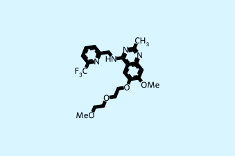 COCCOCCOc1cc2c(NCc3cccc(C(F)(F)F)n3)nc(C)nc2cc1OC